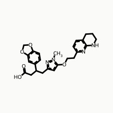 Cn1nc(CC(CC(=O)O)c2ccc3c(c2)OCO3)cc1OCCc1ccc2c(n1)NCCC2